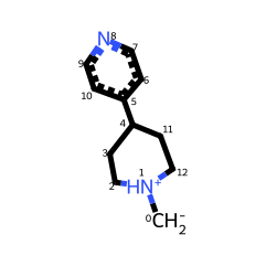 [CH2-][NH+]1CCC(c2ccncc2)CC1